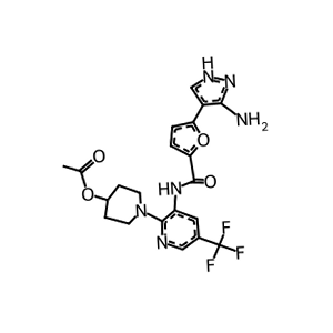 CC(=O)OC1CCN(c2ncc(C(F)(F)F)cc2NC(=O)c2ccc(-c3c[nH]nc3N)o2)CC1